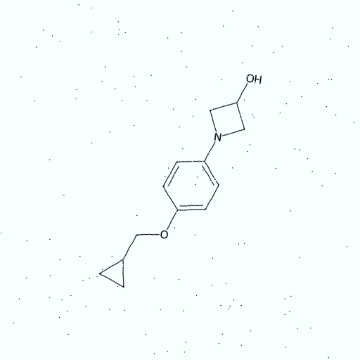 OC1CN(c2ccc(OCC3CC3)cc2)C1